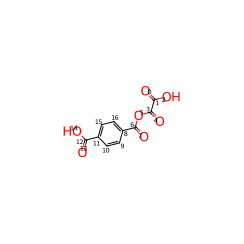 O=C(O)C(=O)OC(=O)c1ccc(C(=O)O)cc1